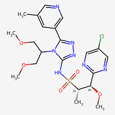 COCC(COC)n1c(NS(=O)(=O)[C@@H](C)[C@H](OC)c2ncc(Cl)cn2)nnc1-c1cncc(C)c1